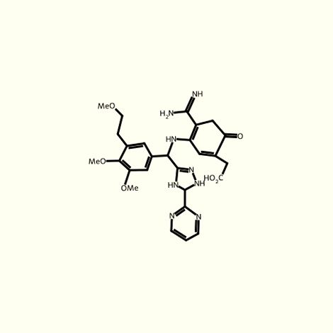 COCCc1cc(C(NC2=C(C(=N)N)CC(=O)C(CC(=O)O)=C2)C2=NNC(c3ncccn3)N2)cc(OC)c1OC